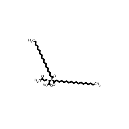 CCCCCCCCCCCCCCCCCC(=O)N(C(=O)CCCCCCCCCCCCCCCCC)[C@@H](CCC(N)=O)C(=O)O